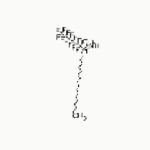 CCCCCCCCCCCCCCCCCCC(F)(C(=O)NF)C(F)(F)C(F)(F)C(F)(F)C(F)(F)C(F)(F)C(F)(F)F